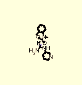 Cc1ccccc1N(C)S(=O)(=O)/N=C(/N)Nc1cccnc1